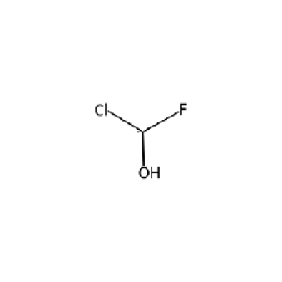 O[C](F)Cl